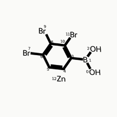 OB(O)c1ccc(Br)c(Br)c1Br.[Zn]